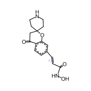 O=C(/C=C/c1ccc2c(c1)OC1(CCNCC1)CC2=O)NO